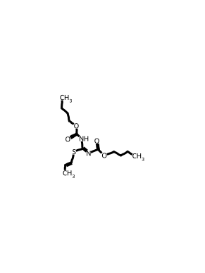 CC=CSC(=NC(=O)OCCCC)NC(=O)OCCCC